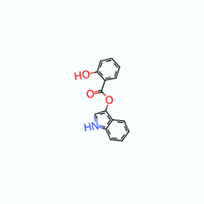 O=C(Oc1c[nH]c2ccccc12)c1ccccc1O